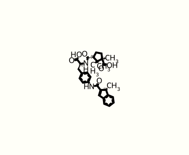 C[C@@H]1C(C(=O)Nc2ccc(C[C@H](NC(=O)[C@@H]3CC[C@](C)(C(=O)O)C3(C)C)C(=O)O)cc2)=Cc2ccccc21